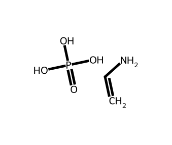 C=CN.O=P(O)(O)O